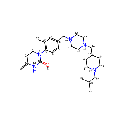 C=C1CCN(c2ccc(CN3CCN(CC4CCN(CC(C)C)CC4)CC3)cc2C)C(=O)N1